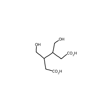 O=C(O)CC(CO)C(CO)CC(=O)O